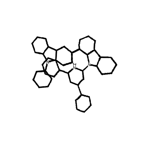 C1CCC(C2CC(C3CCCCC3)NC(N3C4CCCCC4C4CCCC(C5CCC6C(C5)C5CCCCC5N6C5CCCCC5)C43)C2)CC1